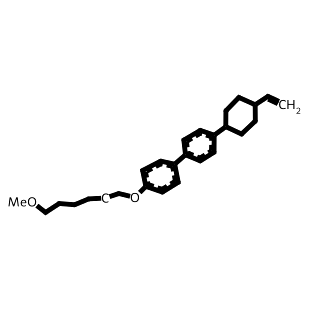 C=CC1CCC(c2ccc(-c3ccc(OCCCCCCOC)cc3)cc2)CC1